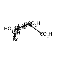 CC(=O)COCCOCCNC(=O)CCC(NC(=O)COCCOCCNC(=O)CNC(=O)CCC(NC(=O)CCCCCCCCCCCCCCCCC(=O)O)C(=O)O)C(=O)O